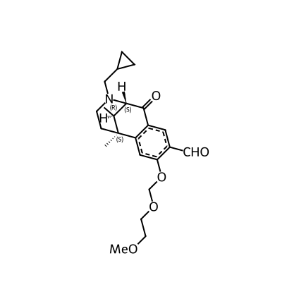 COCCOCOc1cc2c(cc1C=O)C(=O)[C@@H]1[C@H](C)[C@]2(C)CCN1CC1CC1